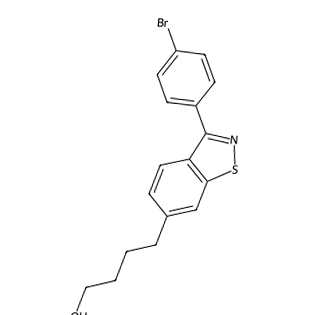 OCCCCc1ccc2c(-c3ccc(Br)cc3)nsc2c1